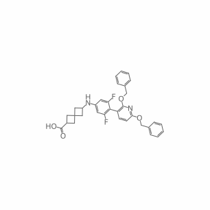 O=C(O)C1CC2(CC(Nc3cc(F)c(-c4ccc(OCc5ccccc5)nc4OCc4ccccc4)c(F)c3)C2)C1